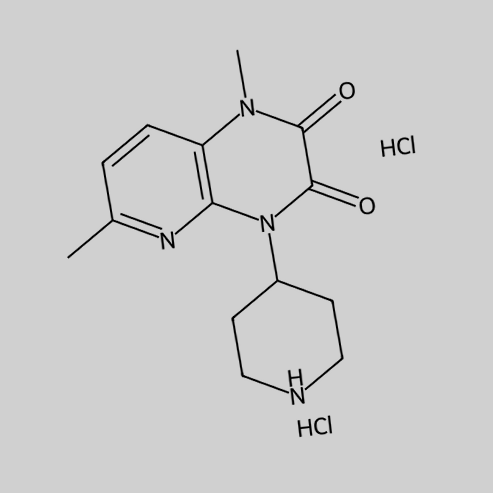 Cc1ccc2c(n1)n(C1CCNCC1)c(=O)c(=O)n2C.Cl.Cl